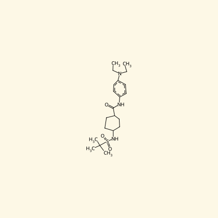 CCN(CC)c1ccc(NC(=O)C2CCC(NS(=O)(=O)C(C)(C)C)CC2)cc1